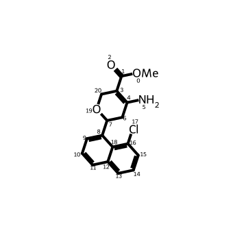 COC(=O)C1=C(N)CC(c2cccc3cccc(Cl)c23)OC1